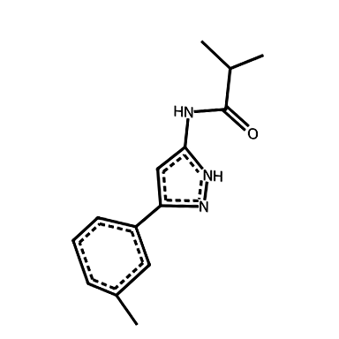 Cc1cccc(-c2cc(NC(=O)C(C)C)[nH]n2)c1